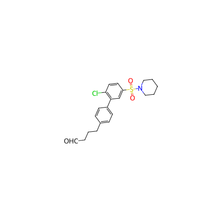 O=CCCCc1ccc(-c2cc(S(=O)(=O)N3CCCCC3)ccc2Cl)cc1